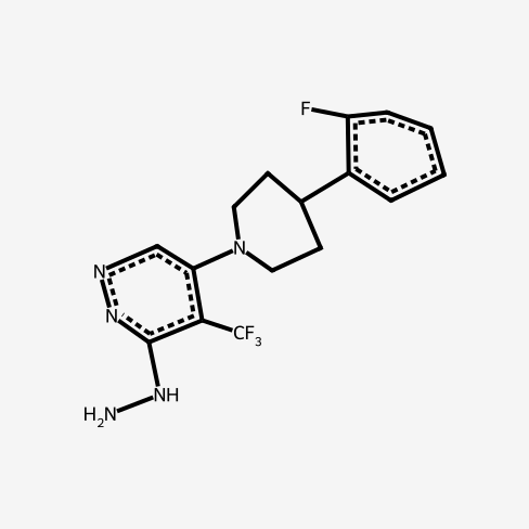 NNc1nncc(N2CCC(c3ccccc3F)CC2)c1C(F)(F)F